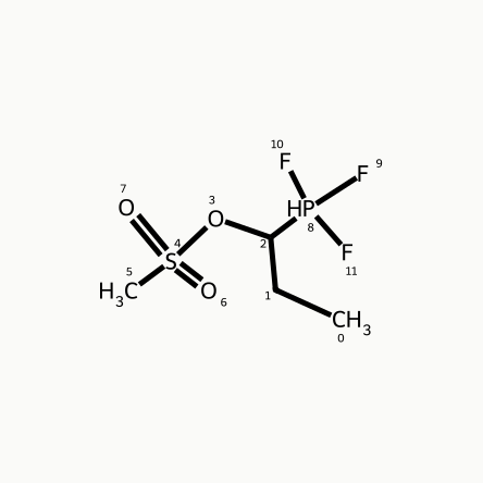 CCC(OS(C)(=O)=O)[PH](F)(F)F